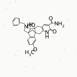 COc1ccc2c(c1)C13Cc4[nH]c(=O)c(C(N)=O)cc4CC1(O)[C@@H]1N(Cc4ccccc4)CC21C3